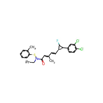 CC(/C=C/C1C(F)C1c1ccc(Cl)c(Cl)c1)=C\C(=O)N(CC(C)C)Sc1ccccc1C